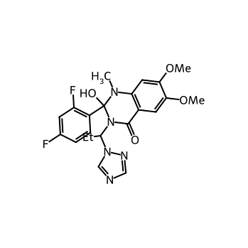 CCC(N1C(=O)c2cc(OC)c(OC)cc2N(C)C1(O)c1ccc(F)cc1F)n1cncn1